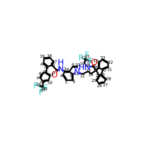 O=C(Nc1cccc2c1ccn2CCCC1(C(=O)NCC(F)(F)F)c2ccccc2-c2ccccc21)c1ccccc1-c1ccc(C(F)(F)F)cc1